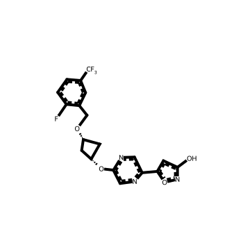 Oc1cc(-c2cnc(O[C@H]3C[C@@H](OCc4cc(C(F)(F)F)ccc4F)C3)cn2)on1